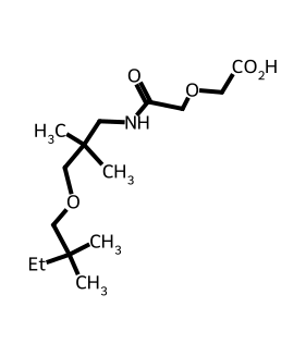 CCC(C)(C)COCC(C)(C)CNC(=O)COCC(=O)O